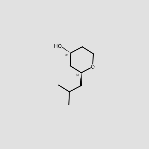 CC(C)C[C@H]1C[C@H](O)CCO1